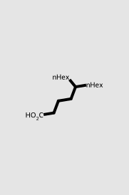 CCCCCCC(CCCCCC)CCCC(=O)O